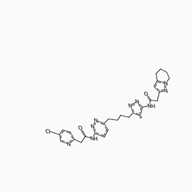 O=C(Cc1ccc(Cl)cn1)Nc1ccc(CCCCc2nnc(NC(=O)Cc3cc4n(n3)CCCC4)s2)nn1